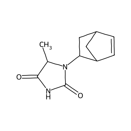 CC1C(=O)NC(=O)N1C1CC2C=CC1C2